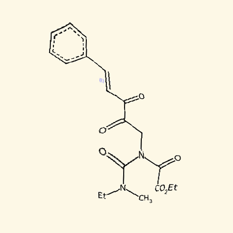 CCOC(=O)C(=O)N(CC(=O)C(=O)/C=C/c1ccccc1)C(=O)N(C)CC